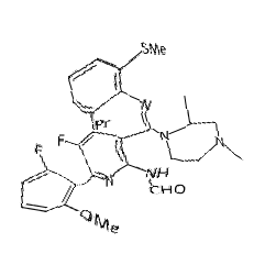 COc1cccc(F)c1-c1nc(NC=O)c(/C(=N\c2c(SC)cccc2C(C)C)N2CCN(C)CC2C)cc1F